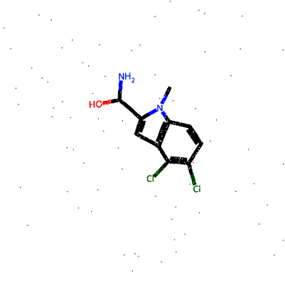 Cn1c(C(N)O)cc2c(Cl)c(Cl)ccc21